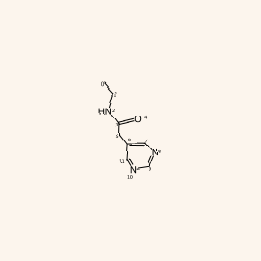 CCNC(=O)Cc1cncnc1